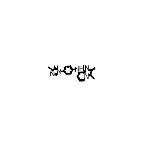 Cc1ncn(-c2ccc(Nc3cccn4c(C)c(C)nc34)cc2)n1